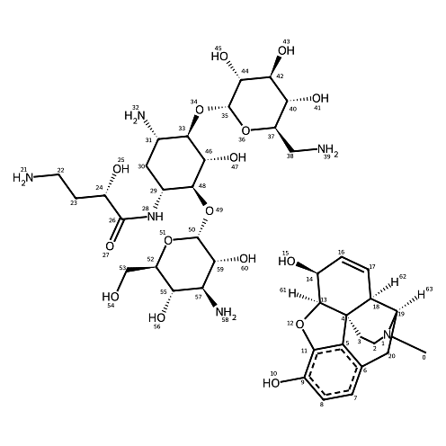 CN1CC[C@]23c4c5ccc(O)c4O[C@H]2[C@@H](O)C=C[C@H]3[C@H]1C5.NCC[C@H](O)C(=O)N[C@@H]1C[C@H](N)[C@@H](O[C@H]2O[C@H](CN)[C@@H](O)[C@H](O)[C@H]2O)[C@H](O)[C@H]1O[C@H]1O[C@H](CO)[C@@H](O)[C@H](N)[C@H]1O